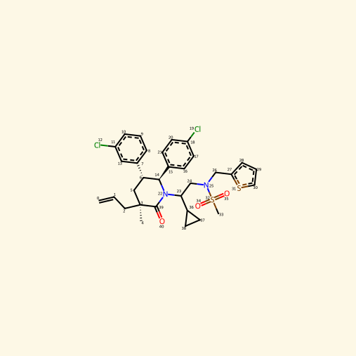 C=CC[C@@]1(C)C[C@H](c2cccc(Cl)c2)[C@@H](c2ccc(Cl)cc2)N(C(CN(Cc2cccs2)S(C)(=O)=O)C2CC2)C1=O